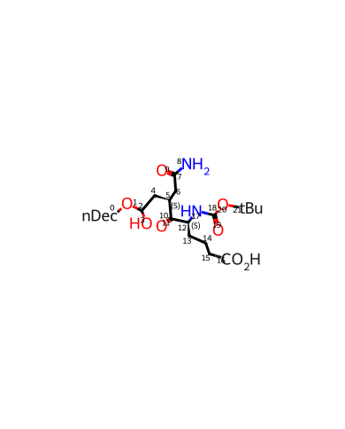 CCCCCCCCCCOC(O)C[C@@H](CC(N)=O)C(=O)[C@H](CCCC(=O)O)NC(=O)OC(C)(C)C